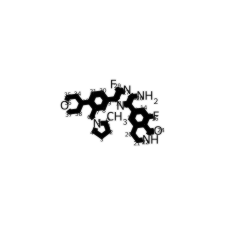 C[C@H]1CCCN1Cc1cc(-c2nc(-c3cc(F)c4c(c3)CCNC4=O)c(N)nc2F)ccc1C1CCOCC1